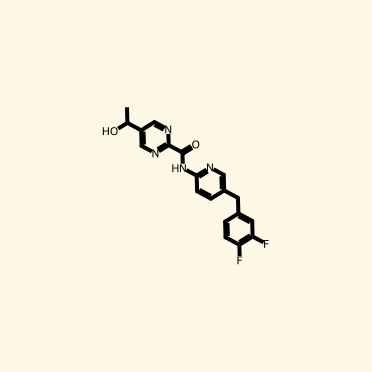 CC(O)c1cnc(C(=O)Nc2ccc(Cc3ccc(F)c(F)c3)cn2)nc1